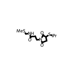 CSCNC(=O)CCN1C(=O)CC(SC(C)C)C1=O